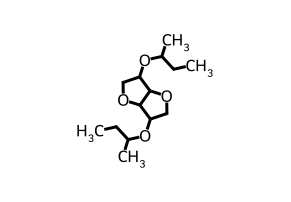 CCC(C)OC1COC2C(OC(C)CC)COC12